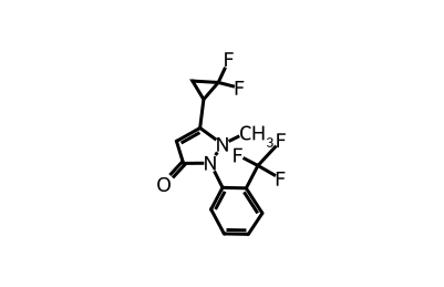 Cn1c(C2CC2(F)F)cc(=O)n1-c1ccccc1C(F)(F)F